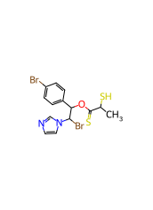 CC(S)C(=S)OC(c1ccc(Br)cc1)C(Br)n1ccnc1